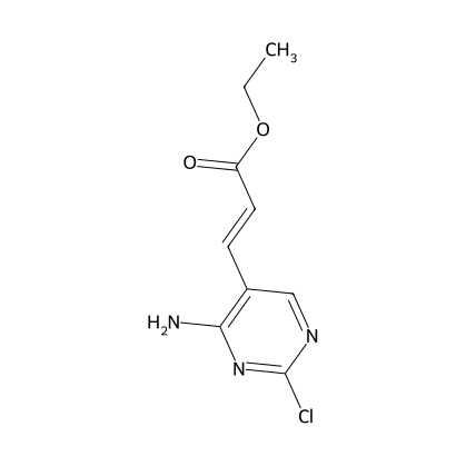 CCOC(=O)C=Cc1cnc(Cl)nc1N